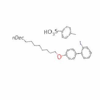 CCCCCCCCCCCCCCCCCCOc1ccc(-c2ccccc2I)cc1.Cc1ccc(S(=O)(=O)O)cc1